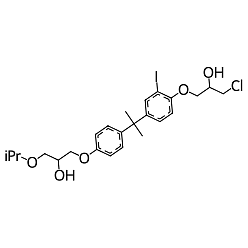 CC(C)OCC(O)COc1ccc(C(C)(C)c2ccc(OCC(O)CCl)c(I)c2)cc1